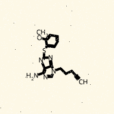 C#CCCCn1cnc(N)c2nc(Sc3ccccc3OC)nc1-2